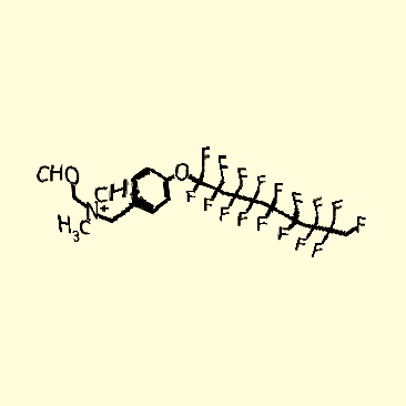 C[N+](C)(CC=O)Cc1ccc(OC(F)(F)C(F)(F)C(F)(F)C(F)(F)C(F)(F)C(F)(F)C(F)(F)C(F)(F)CF)cc1